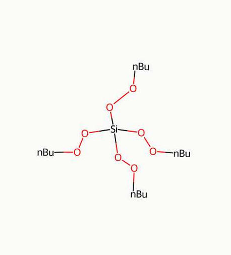 CCCCOO[Si](OOCCCC)(OOCCCC)OOCCCC